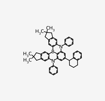 CC1(C)Cc2cc3c(cc2C1)N(c1ccccc1)c1cc(C2CCCc4ccccc42)cc2c1B3c1cc3c(cc1N2c1ccccc1)CC(C)(C)C3